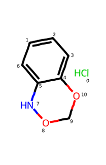 Cl.c1ccc2c(c1)NOCO2